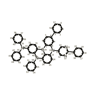 c1ccc(-c2ccc3c(c2)N(c2cnc(-c4ccccc4)nc2)c2cccc4c2B3c2ccc(N(c3ccccc3)c3ccccc3)cc2N4c2ccccc2)cc1